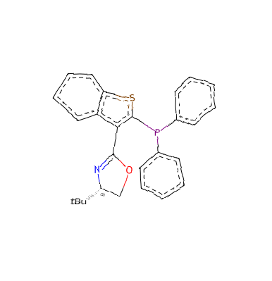 CC(C)(C)[C@H]1COC(c2c(P(c3ccccc3)c3ccccc3)sc3ccccc23)=N1